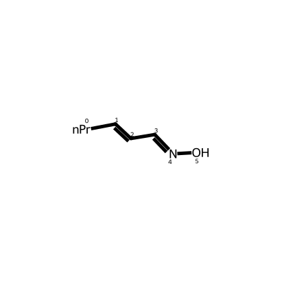 CCCC=CC=NO